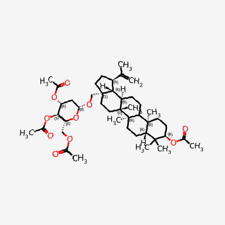 C=C(C)[C@@H]1CC[C@]2(CO[C@H]3C[C@@H](OC(C)=O)[C@H](OC(C)=O)[C@@H](COC(C)=O)O3)CC[C@]3(C)[C@H](CCC4[C@@]5(C)CC[C@@H](OC(C)=O)C(C)(C)[C@@H]5CC[C@]43C)[C@@H]12